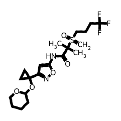 C=S(=O)(CCCC(F)(F)F)C(C)(C)C(=O)Nc1cc(C2(OC3CCCCO3)CC2)no1